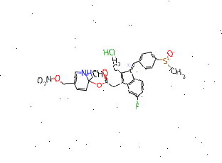 CC1=C(CC(=O)OC2(C)C=CC(CO[N+](=O)[O-])=CN2)c2cc(F)ccc2/C1=C\c1ccc([S+](C)[O-])cc1.Cl